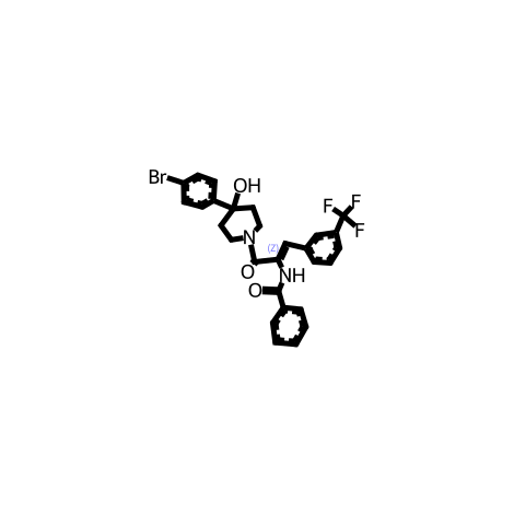 O=C(N/C(=C\c1cccc(C(F)(F)F)c1)C(=O)N1CCC(O)(c2ccc(Br)cc2)CC1)c1ccccc1